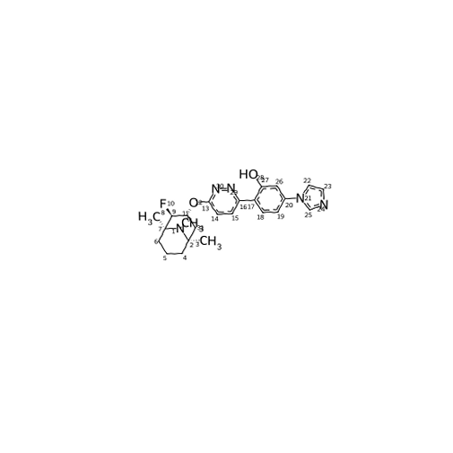 CN1[C@]2(C)CCC[C@@]1(C)[C@@H](F)[C@H](Oc1ccc(-c3ccc(-n4ccnc4)cc3O)nn1)C2